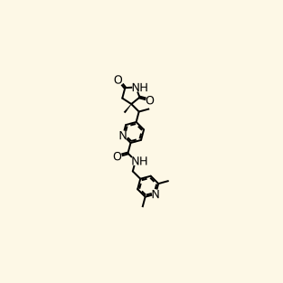 Cc1cc(CNC(=O)c2ccc(C(C)[C@]3(C)CC(=O)NC3=O)cn2)cc(C)n1